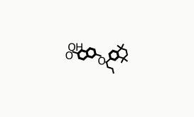 CCCC(OCc1ccc2cc(C(=O)O)ccc2c1)c1ccc2c(c1)C(C)(C)CCC2(C)C